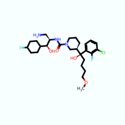 COCCCC[C@@](O)(c1cccc(Cl)c1F)[C@@H]1CCCN(C(=O)N[C@H](CN)[C@@H](O)C2CCC(F)CC2)C1